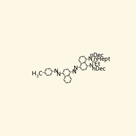 CCCCCCCCCCN1c2cccc3c(/N=N/c4ccc(/N=N/c5ccc(C)cc5)c5ccccc45)ccc(c23)N(CCCCCCCCCC)C1(CC)CCCCCCC